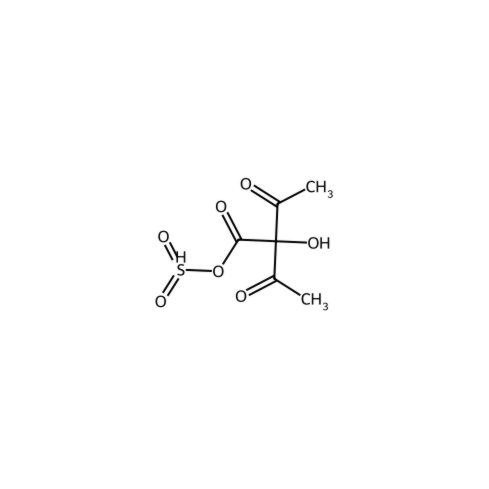 CC(=O)C(O)(C(C)=O)C(=O)O[SH](=O)=O